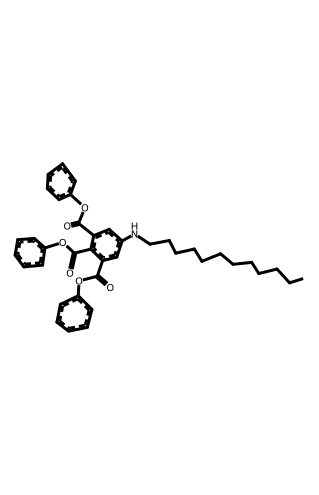 CCCCCCCCCCCCNc1cc(C(=O)Oc2ccccc2)c(C(=O)Oc2ccccc2)c(C(=O)Oc2ccccc2)c1